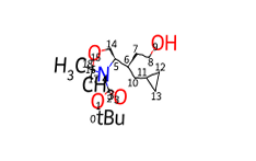 CC(C)(C)OC(=O)N1[C@H]([C@@H](CCO)CC2CC2)COC1(C)C